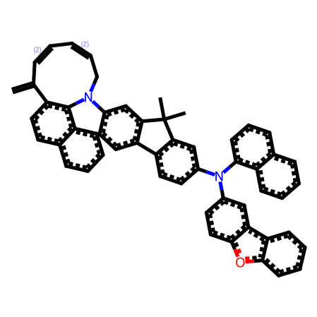 C=C1/C=C\C=C/CN(c2ccc3c(c2)C(C)(C)c2cc(N(c4ccc5oc6ccccc6c5c4)c4cccc5ccccc45)ccc2-3)c2c1ccc1ccccc21